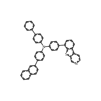 c1ccc(-c2ccc(N(c3ccc(-c4ccc5ccccc5c4)cc3)c3ccc(-c4cccc5c4sc4cnccc45)cc3)cc2)cc1